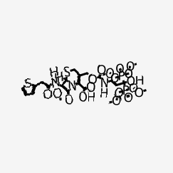 COOP(=O)(OOC)C(O)(CCNC(=O)OCC1=C(C(=O)O)N2C(=O)[C@](NC(=O)Cc3cccs3)(OC)[C@@H]2SC1)P(=O)(OOC)OOC